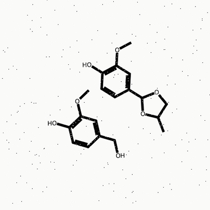 COc1cc(C2OCC(C)O2)ccc1O.COc1cc(CO)ccc1O